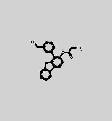 C=CC(=O)Oc1ccc2c(c1-c1cccc(CC)c1)Cc1ccccc1-2